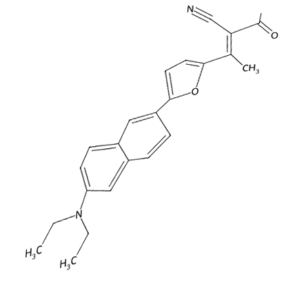 CCN(CC)c1ccc2cc(-c3ccc(/C(C)=C(\C#N)C(N)=O)o3)ccc2c1